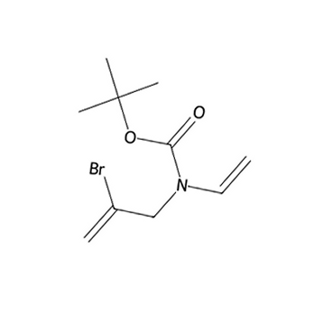 C=CN(CC(=C)Br)C(=O)OC(C)(C)C